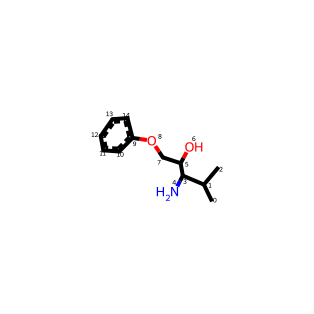 CC(C)C(N)C(O)COc1ccccc1